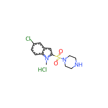 Cl.Cn1c(S(=O)(=O)N2CCNCC2)cc2cc(Cl)ccc21